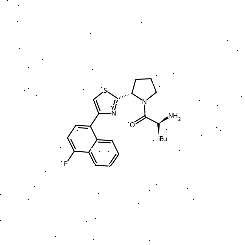 CC[C@H](C)[C@H](N)C(=O)N1CCC[C@H]1c1nc(-c2ccc(F)c3ccccc23)cs1